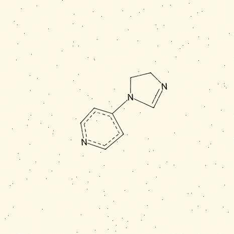 C1=NCCN1c1ccncc1